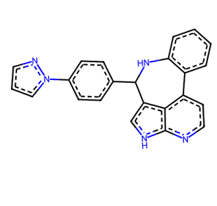 c1ccc2c(c1)NC(c1ccc(-n3cccn3)cc1)c1c[nH]c3nccc-2c13